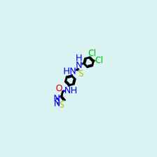 O=C(Nc1ccc(NC(=S)Nc2ccc(Cl)c(Cl)c2)cc1)c1csnn1